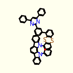 c1ccc(-c2cc(-c3ccccc3)nc(-c3cccc(-c4cccc5c4Sc4c(cccc4-n4c6ccccc6c6ccc7c8ccccc8n(-c8ccccc8)c7c64)S5)c3)n2)cc1